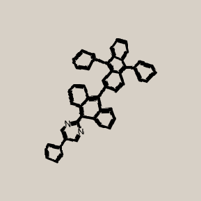 c1ccc(-c2cnc(-c3c4ccccc4c(-c4ccc5c(-c6ccccc6)c6ccccc6c(-c6ccccc6)c5c4)c4ccccc34)nc2)cc1